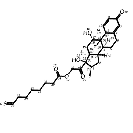 C[C@@H]1C[C@H]2[C@@H]3CCC4=CC(=O)C=C[C@]4(C)[C@@]3(F)[C@@H](O)C[C@]2(C)[C@@]1(O)C(=O)COC(=O)CCCCCCC=S